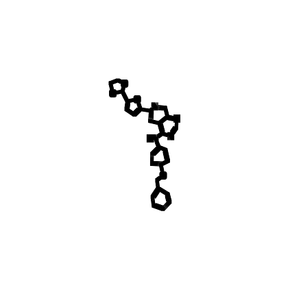 c1ccc(COc2ccc(Nc3ncnc4cnc(-c5ccc(C6OCCO6)o5)cc34)cc2)cc1